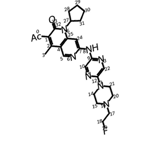 CC(=O)c1c(C)c2cnc(Nc3cnc(N4CCN(CCF)CC4)cn3)cc2n(C2CCCC2)c1=O